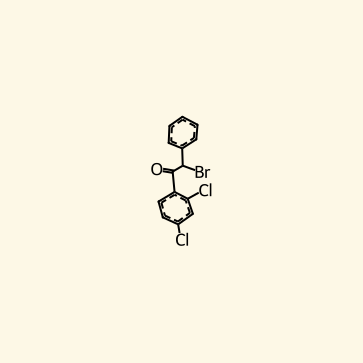 O=C(c1ccc(Cl)cc1Cl)C(Br)c1ccccc1